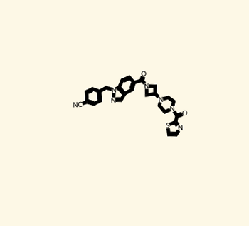 N#Cc1ccc(Cn2ncc3cc(C(=O)N4CC(N5CCN(C(=O)c6nccs6)CC5)C4)ccc32)cc1